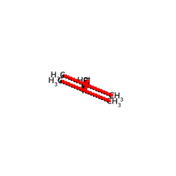 CCCCCCCCCCCCCCCCCCN(CCCCCCCCCCCCCCCCCC)CC(F)(F)F.CCCCCCCCCCCCCCCCCCN(CCCCCCCCCCCCCCCCCC)CC(F)(F)F.Cl